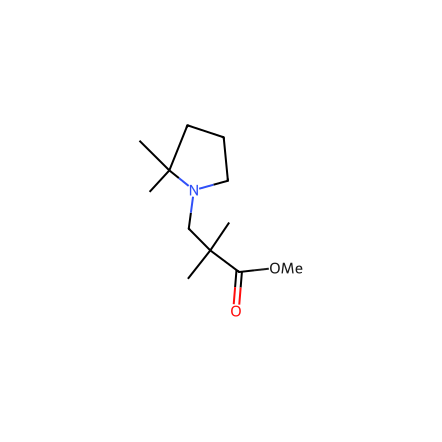 COC(=O)C(C)(C)CN1CCCC1(C)C